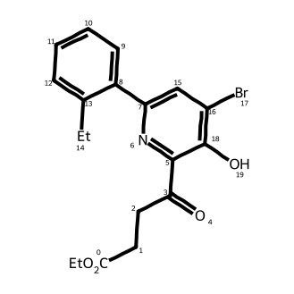 CCOC(=O)CCC(=O)c1nc(-c2ccccc2CC)cc(Br)c1O